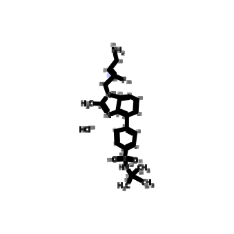 Cc1nc2c(-c3ccc(S(=O)(=O)NC(C)(C)C)cc3)cccc2n1C/C(F)=C/CN.Cl